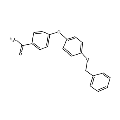 CC(=O)c1ccc(Oc2ccc(OCc3ccccc3)cc2)cc1